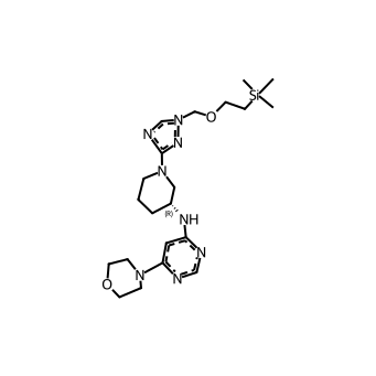 C[Si](C)(C)CCOCn1cnc(N2CCC[C@@H](Nc3cc(N4CCOCC4)ncn3)C2)n1